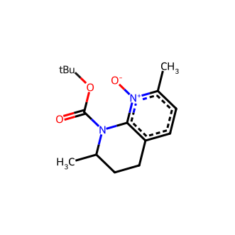 Cc1ccc2c([n+]1[O-])N(C(=O)OC(C)(C)C)C(C)CC2